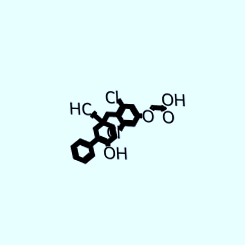 C#CC1(Cc2c(Cl)cc(OCC(=O)O)cc2Cl)C=CC(O)=C(c2ccccc2)C1